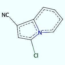 N#Cc1cc(Cl)n2ccccc12